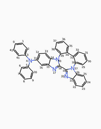 c1ccc(N(c2ccccc2)c2ccc3c(c2)nc2c4nc5ccccc5n4c4ccccc4c4ccccc4n32)cc1